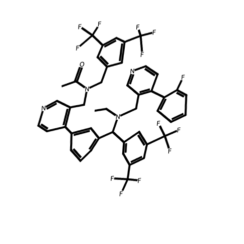 CCN(Cc1cnccc1-c1ccccc1F)C(c1cccc(-c2ccncc2CN(Cc2cc(C(F)(F)F)cc(C(F)(F)F)c2)C(C)=O)c1)c1cc(C(F)(F)F)cc(C(F)(F)F)c1